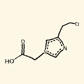 O=C(O)Cn1cnc(CCl)c1